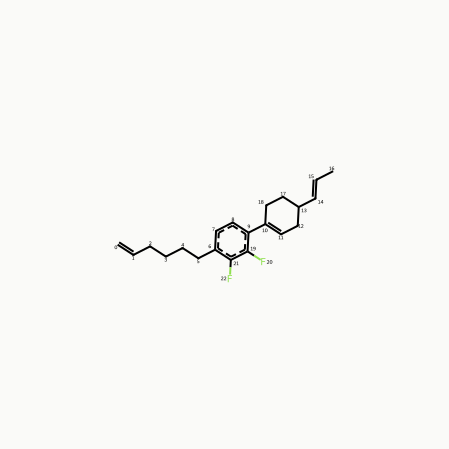 C=CCCCCc1ccc(C2=CCC(/C=C/C)CC2)c(F)c1F